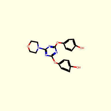 Oc1ccc(Oc2nc(Oc3ccc(O)cc3)nc(N3CCOCC3)n2)cc1